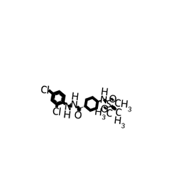 CC(C)(C)S(=O)(=O)N[C@H]1CC[C@H](C(=O)NNc2ccc(Cl)cc2Cl)CC1